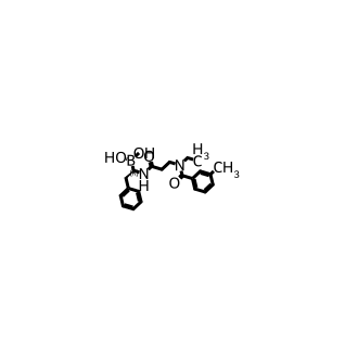 CCN(CCC(=O)N[C@@H](Cc1ccccc1)B(O)O)C(=O)c1cccc(C)c1